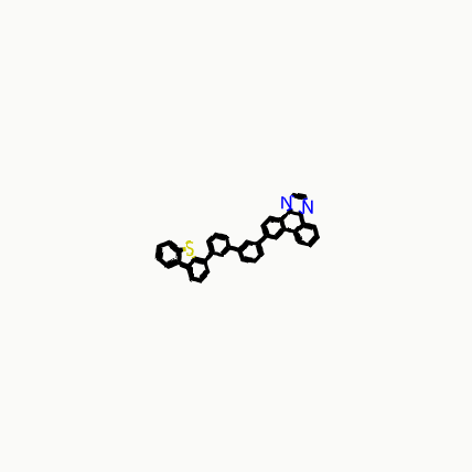 c1cc(-c2cccc(-c3cccc4c3sc3ccccc34)c2)cc(-c2ccc3c(c2)c2ccccc2c2nccnc32)c1